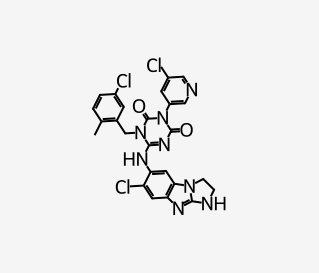 Cc1ccc(Cl)cc1Cn1c(Nc2cc3c(cc2Cl)nc2n3CCN2)nc(=O)n(-c2cncc(Cl)c2)c1=O